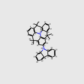 CC1(C)c2cccc3c2N2c4c1cccc4C(C)(C)c1cc(-n4c5ccccc5c5ccccc54)cc(c12)C3(C)C